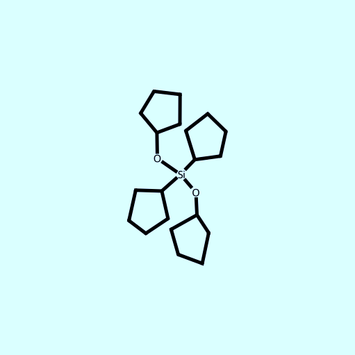 C1CCC(O[Si](OC2CCCC2)(C2CCCC2)C2CCCC2)C1